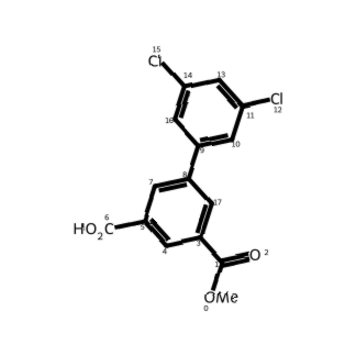 COC(=O)c1cc(C(=O)O)cc(-c2cc(Cl)cc(Cl)c2)c1